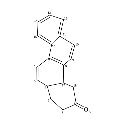 O=C1CCC2C=Cc3c(ccc4ccccc34)C2C1